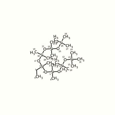 CC[Si](C)(O[Si](C)(C)O[Si](C)(C)O[Si](C)(C)C)O[Si](C)(C)O[Si](C)(C)O[Si](C)(C)C